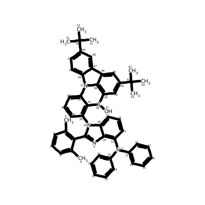 Cc1cccc(C)c1-c1nc2c(N(c3ccccc3)c3ccccc3)cccc2n1-c1cccc2c1B(O)c1cc(C(C)(C)C)cc3c4cc(C(C)(C)C)ccc4n-2c13